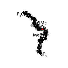 COCCn1c(Cc2cc(F)c(-c3cccc(OCc4ccc(-c5cc(C(F)(F)F)nn5C)cc4F)n3)cc2F)nc2ccc(C(=O)OC(=O)c3ccc4nc(Cc5cc(F)c(-c6cccc(OCc7ccc(-c8cc(C(F)(F)F)nn8C)cc7F)n6)cc5F)n(CCOC)c4c3)cc21